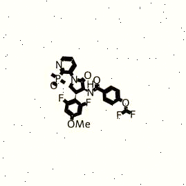 COc1cc(F)c([C@@H]2CN(c3cccnc3P(C)(C)=O)C(=O)[C@H]2NC(=O)c2ccc(OC(F)F)cc2)c(F)c1